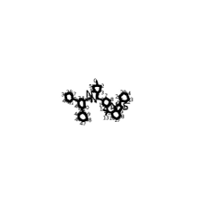 Cc1ccc2c(-c3ccc4c(c3)C(C)(C)c3cccc5c6sc7ccccc7c6n-4c35)nc(-c3cc(-c4ccccc4)cc(-c4ccccc4)c3)nc2c1